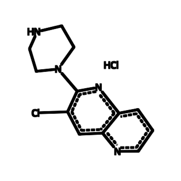 Cl.Clc1cc2ncccc2nc1N1CCNCC1